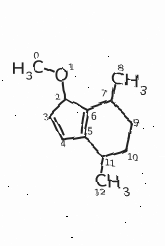 COC1C=CC2=C1C(C)CCC2C